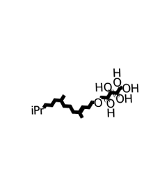 CC(=CCCOC[C@H](O)[C@H](O)[C@@H](O)C(O)O)CCCC(C)CCCC(C)C